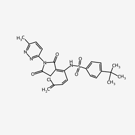 C=C(Cl)/C=C\C(NS(=O)(=O)c1ccc(C(C)(C)C)cc1)=C1/CC(=O)N(c2ccc(C)nn2)C1=O